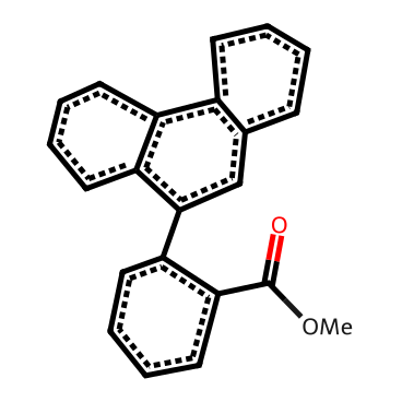 COC(=O)c1ccccc1-c1cc2ccccc2c2ccccc12